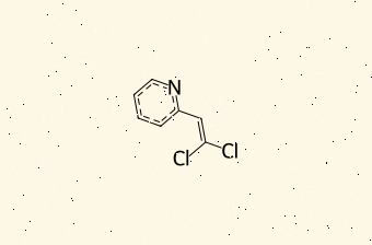 ClC(Cl)=Cc1ccccn1